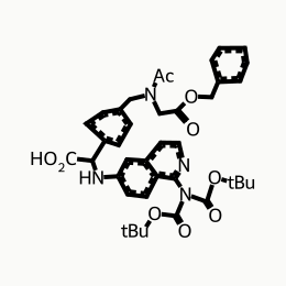 CC(=O)N(CC(=O)OCc1ccccc1)Cc1ccc(C(Nc2ccc3c(N(C(=O)OC(C)(C)C)C(=O)OC(C)(C)C)nccc3c2)C(=O)O)cc1